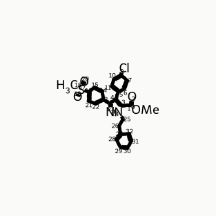 COC(=O)c1c(-c2ccc(Cl)cc2)c(-c2ccc(S(C)(=O)=O)cc2)nn1CCc1ccccc1